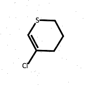 ClC1=CSCCC1